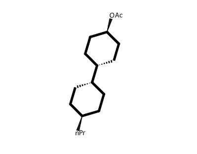 CCC[C@H]1CC[C@H]([C@H]2CC[C@H](OC(C)=O)CC2)CC1